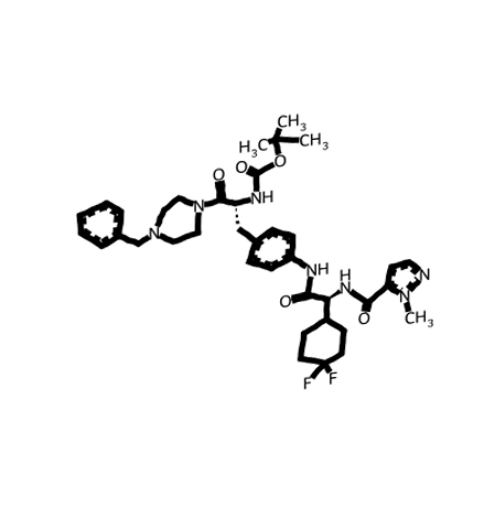 Cn1nccc1C(=O)N[C@H](C(=O)Nc1ccc(C[C@@H](NC(=O)OC(C)(C)C)C(=O)N2CCN(Cc3ccccc3)CC2)cc1)C1CCC(F)(F)CC1